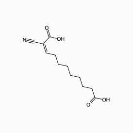 N#CC(=CCCCCCCCC(=O)O)C(=O)O